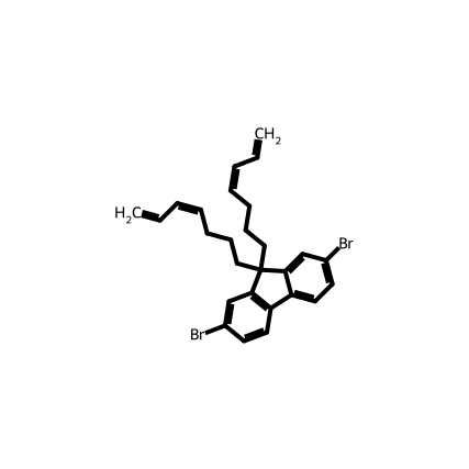 C=C/C=C\CCCC1(CCC/C=C\C=C)c2cc(Br)ccc2-c2ccc(Br)cc21